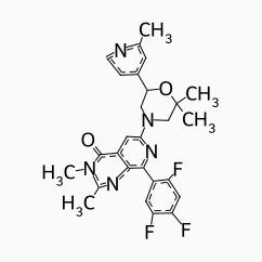 Cc1cc(C2CN(c3cc4c(=O)n(C)c(C)nc4c(-c4cc(F)c(F)cc4F)n3)CC(C)(C)O2)ccn1